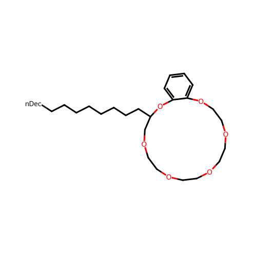 CCCCCCCCCCCCCCCCCCC1COCCOCCOCCOCCOc2ccccc2O1